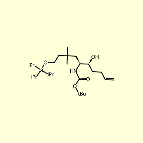 C=CCC[C@H](O)[C@H](CC(C)(C)CCO[Si](C(C)C)(C(C)C)C(C)C)NC(=O)OC(C)(C)C